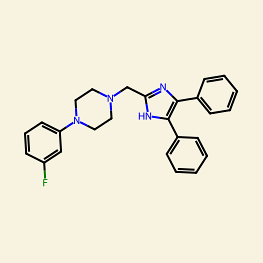 Fc1cccc(N2CCN(Cc3nc(-c4ccccc4)c(-c4ccccc4)[nH]3)CC2)c1